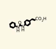 O=C(O)/C=C/c1ccc(NC(=O)Nc2ccccc2)cc1